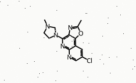 Cc1nc2c(N3CCN(C)C3)nc3ncc(Cl)cc3c2o1